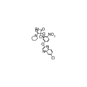 CCC(=O)C(C#N)(Oc1cc(Oc2cnc3cc(Cl)ccc3n2)ccc1[N+](=O)[O-])C(=O)N1CCCCC1